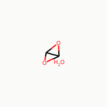 O.O1C2OC12